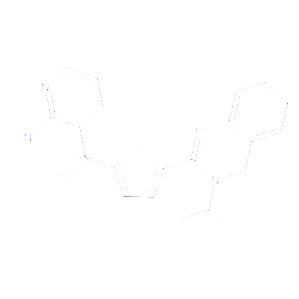 CC(C)N(Cc1ccccc1)C(=O)c1ccc(C(=O)c2cccnc2N)s1